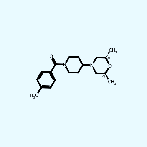 Cc1ccc(C(=O)N2CCC(N3C[C@H](C)O[C@@H](C)C3)CC2)cc1